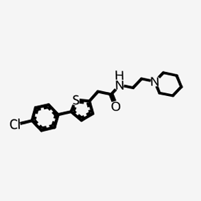 O=C(Cc1ccc(-c2ccc(Cl)cc2)s1)NCCN1CCCCC1